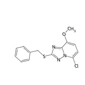 COc1ccc(Cl)n2nc(SCc3ccccc3)nc12